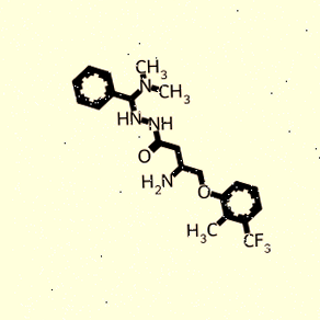 Cc1c(OCC(N)CC(=O)NNC(c2ccccc2)N(C)C)cccc1C(F)(F)F